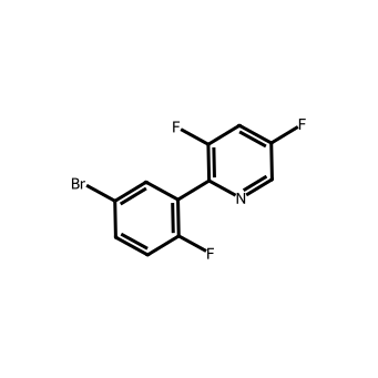 Fc1cnc(-c2cc(Br)ccc2F)c(F)c1